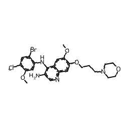 COc1cc(Nc2c(N)cnc3cc(OCCCN4CCOCC4)c(OC)cc23)c(Br)cc1Cl